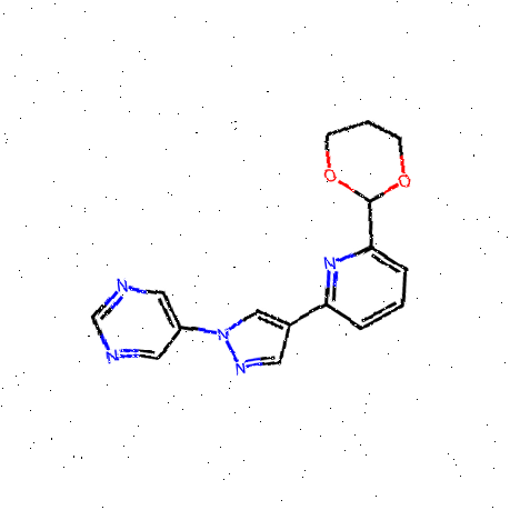 c1cc(-c2cnn(-c3cncnc3)c2)nc(C2OCCCO2)c1